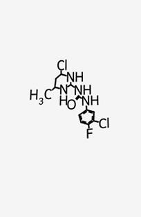 CC1CC(Cl)NC(NC(=O)Nc2ccc(F)c(Cl)c2)N1